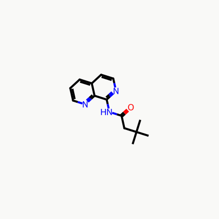 CC(C)(C)CC(=O)Nc1nccc2cccnc12